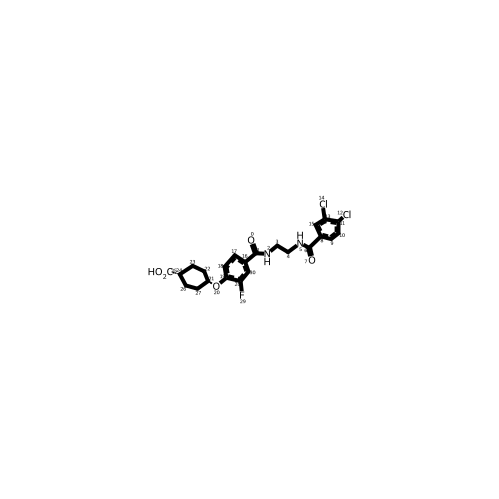 O=C(NCCNC(=O)c1ccc(Cl)c(Cl)c1)c1ccc(O[C@H]2CC[C@@H](C(=O)O)CC2)c(F)c1